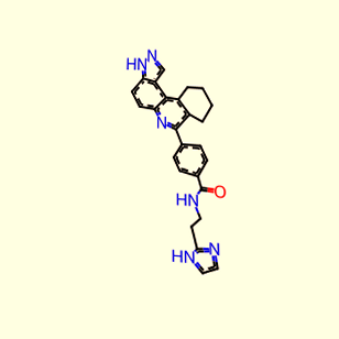 O=C(NCCc1ncc[nH]1)c1ccc(-c2nc3ccc4[nH]ncc4c3c3c2CCCC3)cc1